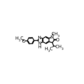 COc1ccc(-c2nc3cc4c(cc3[nH]2)C(C(C)C)C(=O)N4C)cc1